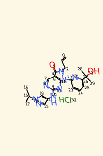 C=CCn1c(=O)c2cnc(Nc3cnn(C(C)C)c3)nc2n1-c1cccc(C(C)(C)O)n1.Cl